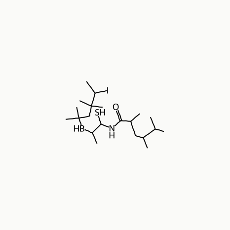 CC(CC(C)C(C)C)C(=O)NC(S)C(C)BC(C)(C)CC(C)(C)C(C)I